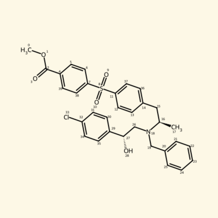 COC(=O)c1ccc(S(=O)(=O)c2ccc(C[C@@H](C)N(Cc3ccccc3)C[C@H](O)c3ccc(Cl)cc3)cc2)cc1